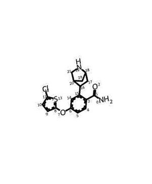 NC(=O)c1ccc(Oc2ccc(Cl)s2)cc1C1CC2CC1CN2